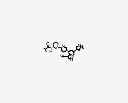 CC(C)C(=O)N[C@@H]1CCCN(c2ccc(-c3cc(-c4cnn(C)c4)cn4ncc(C#N)c34)cn2)C1